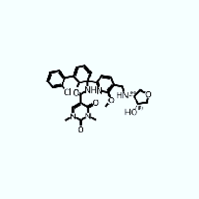 COc1nc(C2(NC(=O)c3cn(C)c(=O)n(C)c3=O)C=CC=C(c3ccccc3Cl)C2C)ccc1CN[C@@H]1COC[C@@H]1O